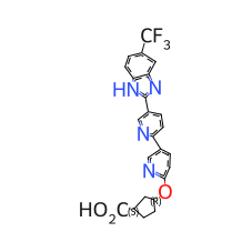 O=C(O)[C@H]1CC[C@@H](Oc2ccc(-c3ccc(-c4nc5cc(C(F)(F)F)ccc5[nH]4)cn3)cn2)C1